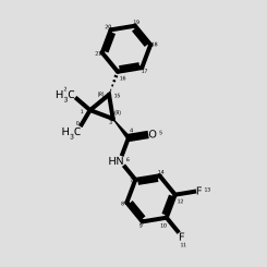 CC1(C)[C@H](C(=O)Nc2ccc(F)c(F)c2)[C@H]1c1ccccc1